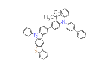 CC1(C)c2ccccc2N(c2ccc(-c3ccccc3)cc2)c2ccc(-c3ccc4c(c3)c3cc5c(cc3n4-c3ccccc3)sc3ccccc35)cc21